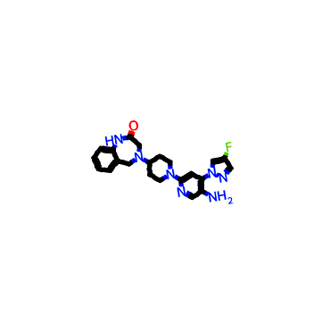 Nc1cnc(N2CCC(N3CC(=O)Nc4ccccc4C3)CC2)cc1-n1cc(F)cn1